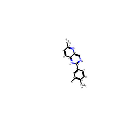 Cc1cc(-c2ncc3nc(C(F)(F)F)ccc3n2)ccc1[N+](=O)[O-]